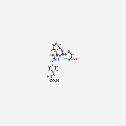 O=C(O)NC[C@H]1CC[C@H](CNC(=O)c2cc(N3CCC(O)CC3)nc3ccccc23)CC1